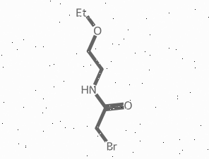 [CH2]COCCNC(=O)CBr